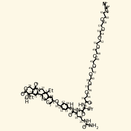 CCc1c2c(nc3ccc(OCc4ccc(NC(=O)[C@H](CCCNC(N)=O)NC(=O)[C@@H](NC(=O)CCOCCOCCOCCOCCOCCOCCOCCOCCOCCN=[N+]=[N-])C(C)C)cc4)cc13)-c1cc3c(c(=O)n1C2)COC(=O)[C@]3(O)CC